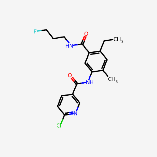 CCc1cc(C)c(NC(=O)c2ccc(Cl)nc2)cc1C(=O)NCCCF